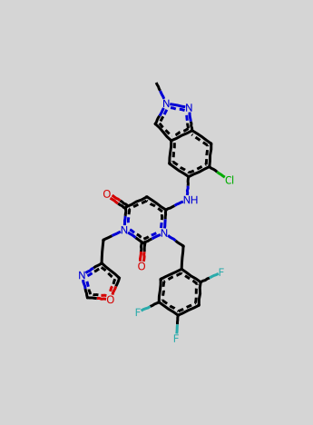 Cn1cc2cc(Nc3cc(=O)n(Cc4cocn4)c(=O)n3Cc3cc(F)c(F)cc3F)c(Cl)cc2n1